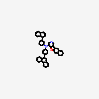 c1cc(-c2cccc3ccccc23)cc(N(c2ccc(-c3cc4ccccc4c4ccccc34)cc2)c2cncc3c2oc2cc4ccccc4cc23)c1